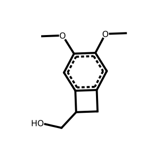 COc1cc2c(cc1OC)C(CO)C2